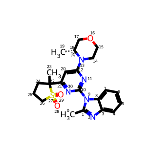 Cc1nc2ccccc2n1-c1nc(N2CCOC[C@H]2C)cc(C2(C)CCCS2(=O)=O)n1